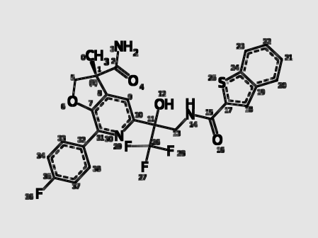 C[C@]1(C(N)=O)COc2c1cc(C(O)(CNC(=O)c1cc3ccccc3s1)C(F)(F)F)nc2-c1ccc(F)cc1